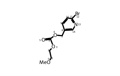 COCCOC(=O)OCc1ccc(Br)nc1